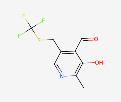 Cc1ncc(CSC(F)(F)F)c(C=O)c1O